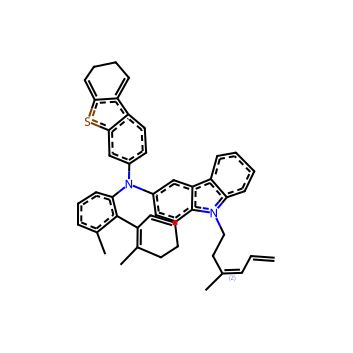 C=C/C=C(/C)CCn1c2ccccc2c2cc(N(c3ccc4c5c(sc4c3)=CCCC=5)c3cccc(C)c3C3=C(C)CCC=C3)ccc21